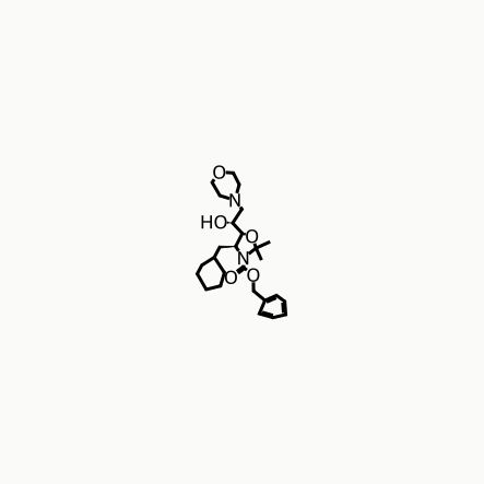 CC1(C)O[C@H]([C@H](O)CN2CCOCC2)[C@H](CC2CCCCC2)N1C(=O)OCc1ccccc1